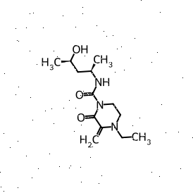 C=C1C(=O)N(C(=O)N[C@H](C)C[C@@H](C)O)CCN1CC